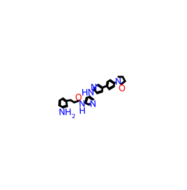 Nc1cccc(CCC(=O)Nc2cncc(Nc3ccc(-c4ccc(N5CCCC5=O)cc4)cn3)c2)c1